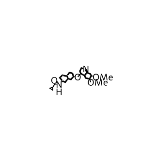 COc1cc2nccc(Oc3ccc4ccc(NC(=O)C5CC5)cc4c3)c2cc1OC